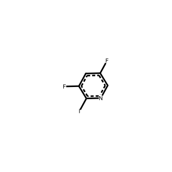 Fc1cnc(I)c(F)c1